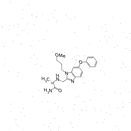 COCCCn1c(CN[C@@H](C)C(N)=O)nc2ccc(Oc3ccccc3)cc21